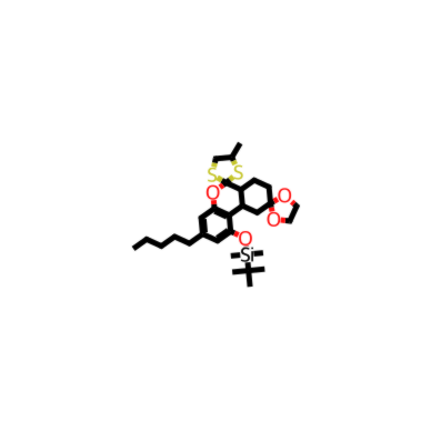 CCCCCc1cc2c(c(O[Si](C)(C)C(C)(C)C)c1)C1CC3(CCC1C1(O2)SCC(C)S1)OCCO3